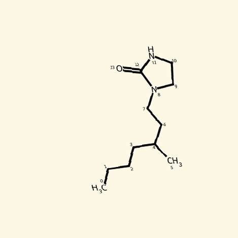 CCCCC(C)CCN1CCNC1=O